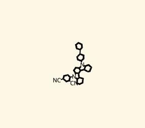 N#Cc1ccc(-n2c3ccccc3c3c4c5ccccc5n(-c5ccc(-c6ccccc6)cc5)c4ccc32)c(C#N)c1